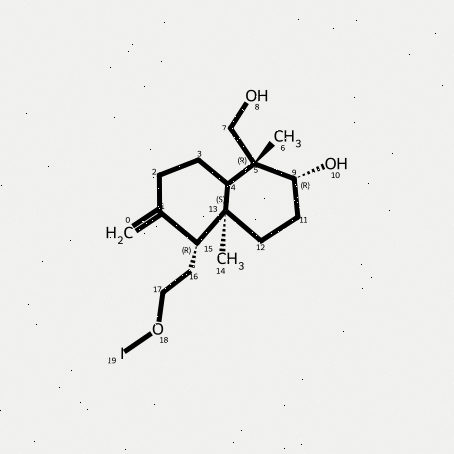 C=C1CCC2[C@](C)(CO)[C@H](O)CC[C@@]2(C)[C@@H]1CCOI